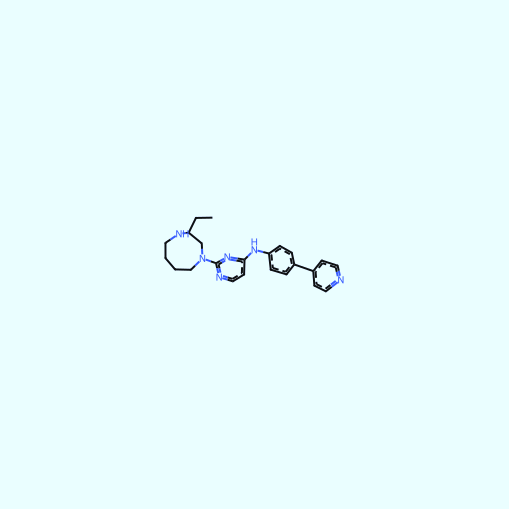 CCC1CN(c2nccc(Nc3ccc(-c4ccncc4)cc3)n2)CCCCN1